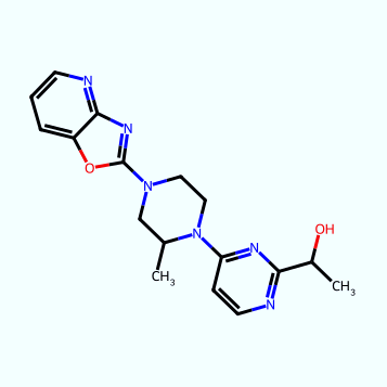 CC(O)c1nccc(N2CCN(c3nc4ncccc4o3)CC2C)n1